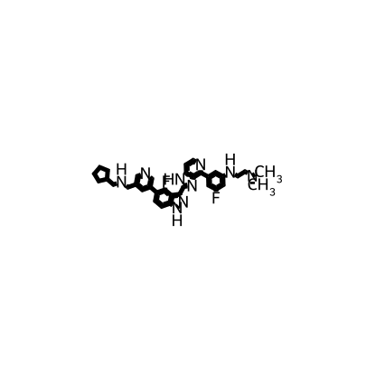 CN(C)CCNc1cc(F)cc(-c2nccc3[nH]c(-c4n[nH]c5ccc(-c6cncc(CNCC7CCCC7)c6)c(F)c45)nc23)c1